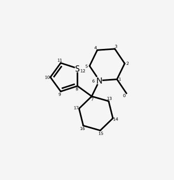 CC1CCCCN1C1(c2cccs2)CCCCC1